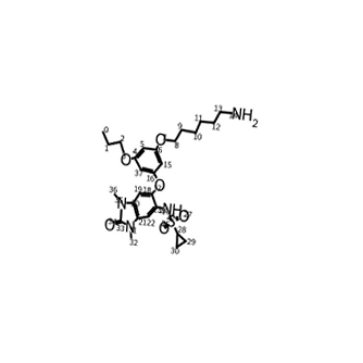 CCCOc1cc(OCCCCCCN)cc(Oc2cc3c(cc2NS(=O)(=O)C2CC2)n(C)c(=O)n3C)c1